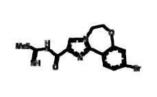 CSC(=N)NC(=O)c1cn2c(n1)-c1ccc(Br)cc1OCC2